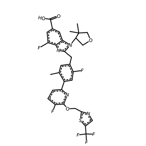 Cc1cc(Cc2nc3c(F)cc(C(=O)O)cc3n2C2COCC2(C)C)c(F)cc1-c1ccc(F)c(OCc2ncc(C(F)(F)F)s2)n1